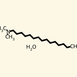 CCCCCCCCCCCCCCCN(C)C.O